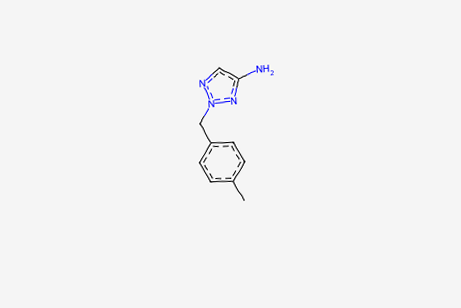 Cc1ccc(Cn2ncc(N)n2)cc1